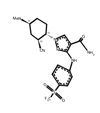 CN[C@H]1CC[C@H](n2cc(C(N)=O)c(Nc3ccc(S(=O)(=O)C(F)(F)F)cc3)n2)[C@@H](C#N)C1